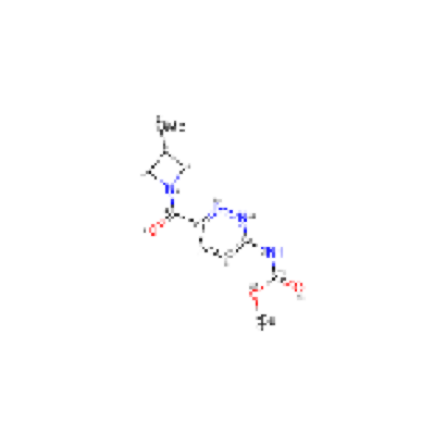 COC1CN(C(=O)c2ccc(NC(=O)OC(C)(C)C)nn2)C1